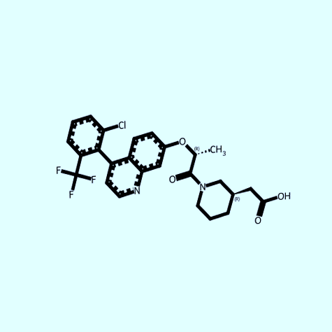 C[C@@H](Oc1ccc2c(-c3c(Cl)cccc3C(F)(F)F)ccnc2c1)C(=O)N1CCC[C@H](CC(=O)O)C1